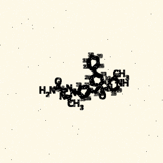 Cc1nc(C(N)=O)nn1-c1ccc(CC2(C(=O)N3CCNC(C)C3)C=CC(c3ccccc3)=CC2)cc1